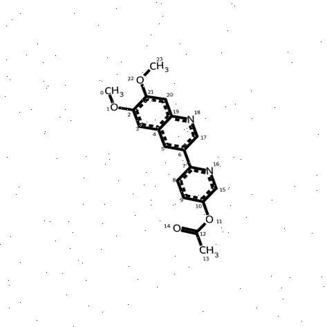 COc1cc2cc(-c3ccc(OC(C)=O)cn3)cnc2cc1OC